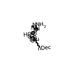 CCCCCCCCCCCCCCCC(=O)OC(C(=O)CCCC)[C@H]1O[C@@H](n2cnc3c(N)ncnc32)C[C@@H]1O